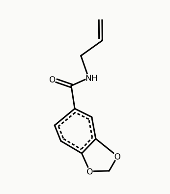 C=CCNC(=O)c1ccc2c(c1)OCO2